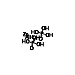 O=P(O)(O)O.O=P(O)(O)O.[AlH3].[Zn]